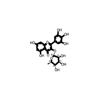 C[C@H]1O[C@H](Oc2c(-c3cc(O)c(O)c(O)c3)oc3cc(O)cc(O)c3c2=O)[C@@H](O)[C@@H](O)[C@@H]1O